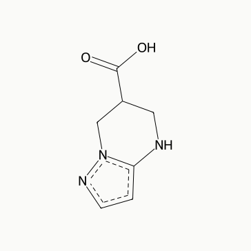 O=C(O)C1CNc2ccnn2C1